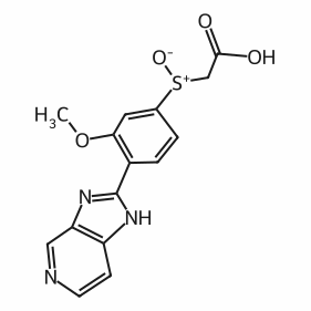 COc1cc([S+]([O-])CC(=O)O)ccc1-c1nc2cnccc2[nH]1